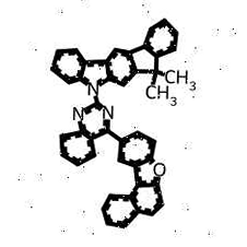 CC1(C)c2ccccc2-c2cc3c4ccccc4n(-c4nc(-c5ccc6oc7ccc8ccccc8c7c6c5)c5ccccc5n4)c3cc21